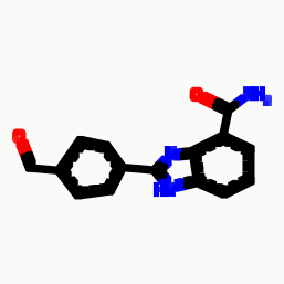 NC(=O)c1cccc2[nH]c(-c3ccc(C=O)cc3)nc12